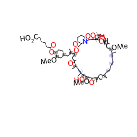 CO[C@H]1C[C@@H]2CC[C@@H](C)[C@@](O)(O2)C(=O)C(=O)N2CCCCC2C(=O)O[C@H]([C@H](C)C[C@@H]2CC[C@@H](OC(=O)CCCCC(=O)O)[C@H](OC)C2)CC(=O)[C@H](C)/C=C(\C)[C@@H](O)[C@@H](OC)C(=O)[C@H](C)C[C@H](C)/C=C/C=C/C=C/1C